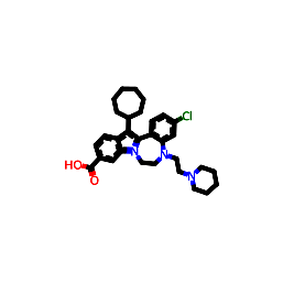 O=C(O)c1ccc2c(C3CCCCCC3)c3n(c2c1)CCN(CCN1CCCCC1)c1cc(Cl)ccc1-3